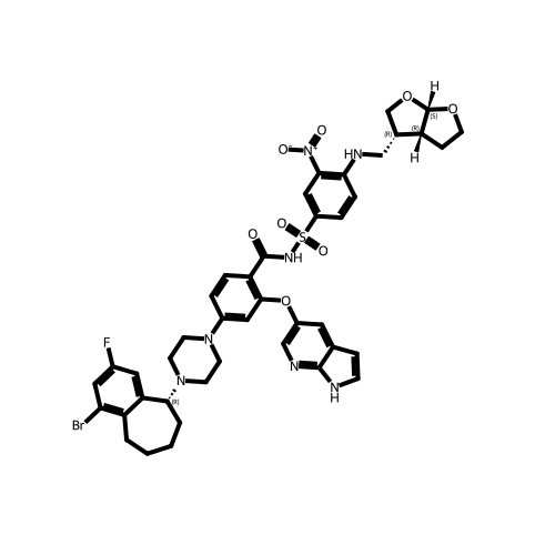 O=C(NS(=O)(=O)c1ccc(NC[C@@H]2CO[C@@H]3OCC[C@H]23)c([N+](=O)[O-])c1)c1ccc(N2CCN([C@@H]3CCCCc4c(Br)cc(F)cc43)CC2)cc1Oc1cnc2[nH]ccc2c1